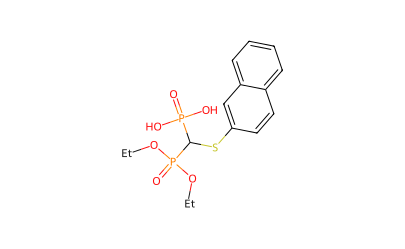 CCOP(=O)(OCC)C(Sc1ccc2ccccc2c1)P(=O)(O)O